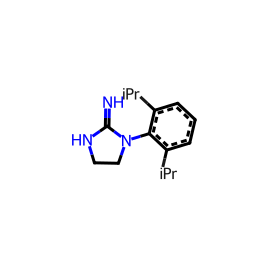 CC(C)c1cccc(C(C)C)c1N1CCNC1=N